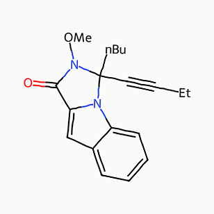 CCC#CC1(CCCC)N(OC)C(=O)c2cc3ccccc3n21